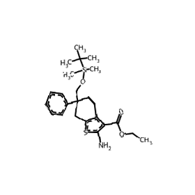 CCOC(=O)c1c(N)sc2c1CCC(CO[Si](C)(C)C(C)(C)C)(c1ccccc1)C2